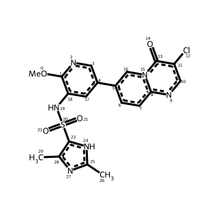 COc1ncc(-c2ccc3ncc(Cl)c(=O)n3c2)cc1NS(=O)(=O)c1[nH]c(C)nc1C